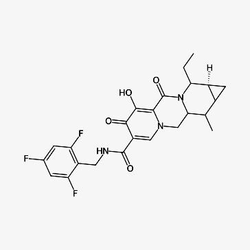 CCC1[C@H]2CC2C(C)C2Cn3cc(C(=O)NCc4c(F)cc(F)cc4F)c(=O)c(O)c3C(=O)N21